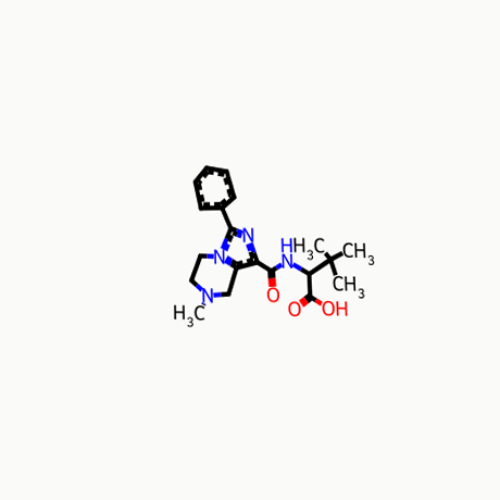 CN1CCn2c(-c3ccccc3)nc(C(=O)NC(C(=O)O)C(C)(C)C)c2C1